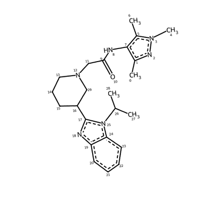 Cc1nn(C)c(C)c1NC(=O)CN1CCCC(c2nc3ccccc3n2C(C)C)C1